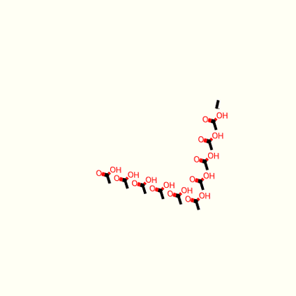 CC(=O)O.CC(=O)O.CC(=O)O.CC(=O)O.CC(=O)O.CC(=O)O.CC(=O)O.CC(=O)O.CC(=O)O.CC(=O)O.[CH2]C